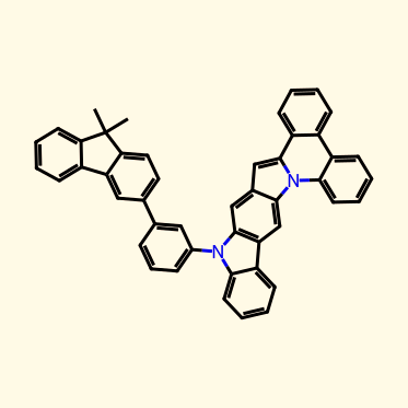 CC1(C)c2ccccc2-c2cc(-c3cccc(-n4c5ccccc5c5cc6c(cc54)cc4c5ccccc5c5ccccc5n64)c3)ccc21